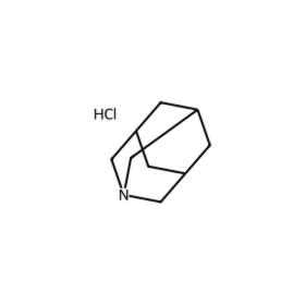 C1C2CC3CC1CN(C2)C3.Cl